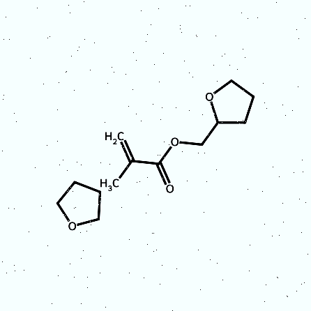 C1CCOC1.C=C(C)C(=O)OCC1CCCO1